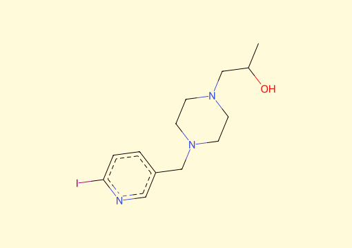 CC(O)CN1CCN(Cc2ccc(I)nc2)CC1